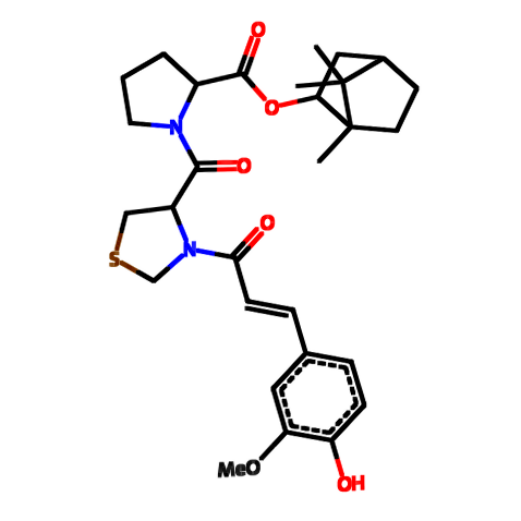 COc1cc(/C=C/C(=O)N2CSCC2C(=O)N2CCCC2C(=O)OC2CC3CCC2(C)C3(C)C)ccc1O